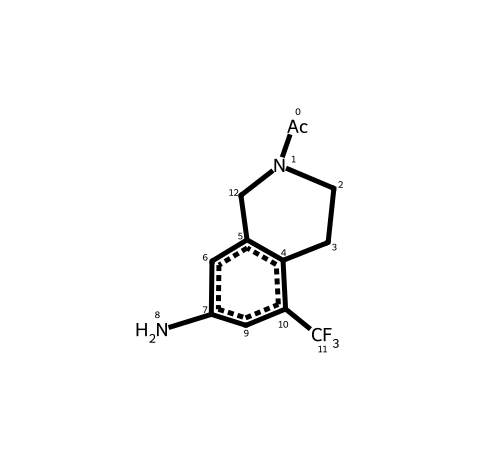 CC(=O)N1CCc2c(cc(N)cc2C(F)(F)F)C1